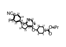 CC(C)OC(=O)N1CCC(Oc2ncnc3c2CCN3c2ccc(C#N)c(F)c2)CC1